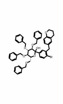 OC1(c2ccc(Br)c(Cc3ccc4c(c3)CCCO4)c2)O[C@H](COCc2ccccc2)[C@@H](OCc2ccccc2)[C@H](OCc2ccccc2)[C@H]1OCc1ccccc1